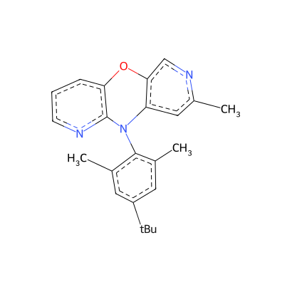 Cc1cc2c(cn1)Oc1cccnc1N2c1c(C)cc(C(C)(C)C)cc1C